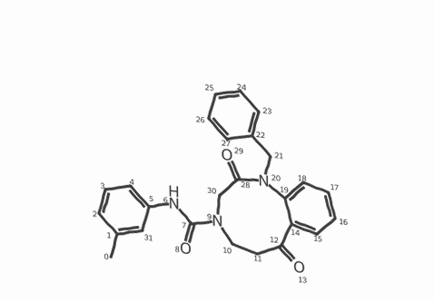 Cc1cccc(NC(=O)N2CCC(=O)c3ccccc3N(Cc3ccccc3)C(=O)C2)c1